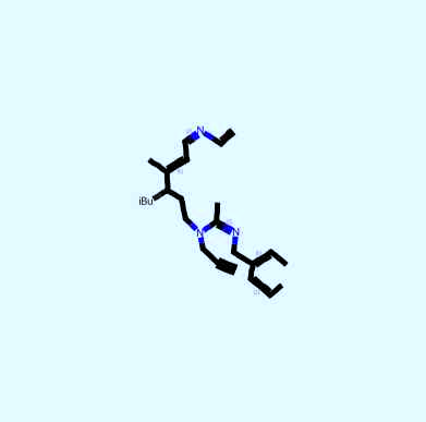 C#CCN(CCC(/C(C)=C/C=N\C=C)C(C)CC)/C(C)=N\CC(/C=C\C)=C/C